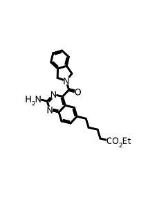 CCOC(=O)CCCCc1ccc2nc(N)nc(C(=O)N3Cc4ccccc4C3)c2c1